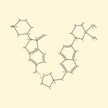 CC1(C)CN(c2ccc3cc(CN4CC[C@H](Oc5ccc6c(c5)CN(C5CCCNC5)C6=O)C4)ccc3n2)CCO1